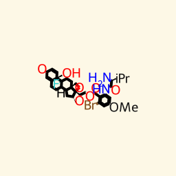 COc1cc(Br)c(C(=O)OCC(=O)[C@]23OC[C@@]24C[C@H](O)[C@@]2(F)[C@@H](CCC5=CC(=O)C=C[C@@]52C)C4C[C@H]3C)c(NC(=O)[C@@H](N)C(C)C)c1